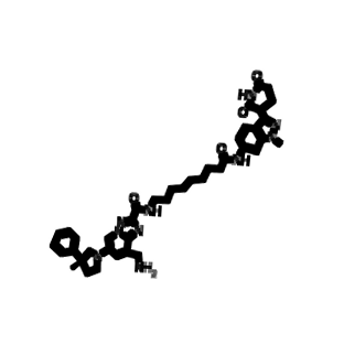 Cn1nc(C2CCC(=O)NC2=O)c2ccc(NC(=O)CCCCCCCCNC(=O)c3nc4c(CN)cc(N5CC[C@](C)(c6ccccc6)C5)cn4n3)cc21